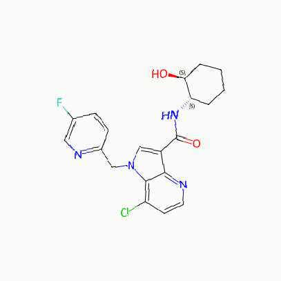 O=C(N[C@H]1CCCC[C@@H]1O)c1cn(Cc2ccc(F)cn2)c2c(Cl)ccnc12